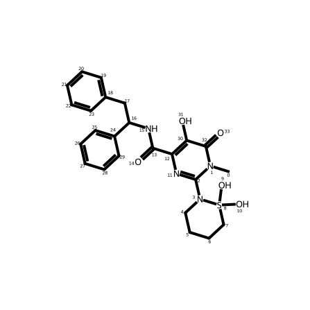 Cn1c(N2CCCCS2(O)O)nc(C(=O)NC(Cc2ccccc2)c2ccccc2)c(O)c1=O